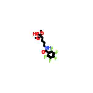 CO[Si](O)(CCCCNC(=O)c1c(F)c(F)c(F)c(F)c1F)OC